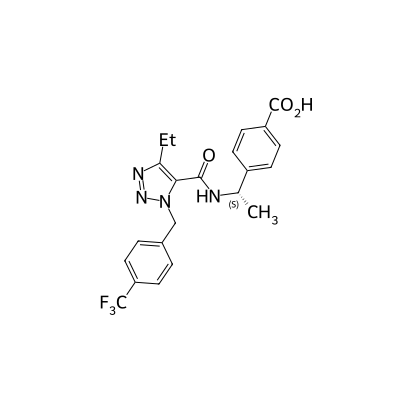 CCc1nnn(Cc2ccc(C(F)(F)F)cc2)c1C(=O)N[C@@H](C)c1ccc(C(=O)O)cc1